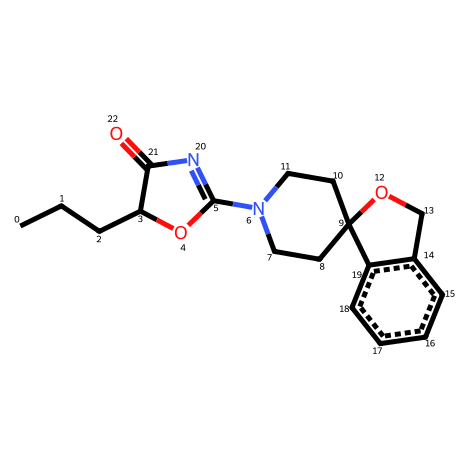 CCCC1OC(N2CCC3(CC2)OCc2ccccc23)=NC1=O